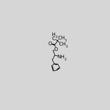 CC(C)(C)C(=O)OCC(N)Cc1ccccc1